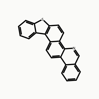 c1ccc2c(c1)cnc1c2ccc2c1ccc1sc3ccccc3c12